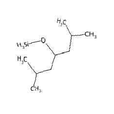 CC(C)CC(CC(C)C)O[SiH3]